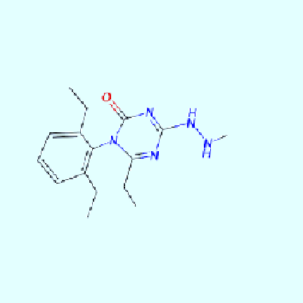 CCc1cccc(CC)c1-n1c(CC)nc(NNC)nc1=O